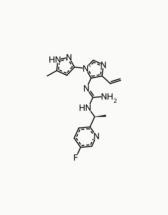 C=Cc1ncn(-c2cc(C)[nH]n2)c1/N=C(\N)N[C@@H](C)c1ccc(F)cn1